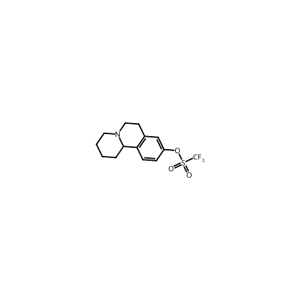 O=S(=O)(Oc1ccc2c(c1)CCN1CCCCC21)C(F)(F)F